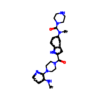 CC(C)Nc1cccnc1N1CCN(C(=O)c2cc3cc(N(C(=O)N4CCNCC4)C(C)C)ccc3[nH]2)CC1